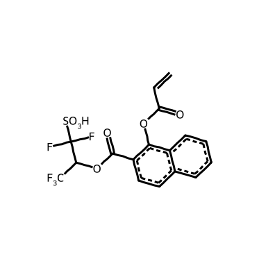 C=CC(=O)Oc1c(C(=O)OC(C(F)(F)F)C(F)(F)S(=O)(=O)O)ccc2ccccc12